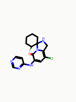 O=c1c(Nc2ccncn2)cc(Cl)c2n1C1(CCCCC1F)NC2